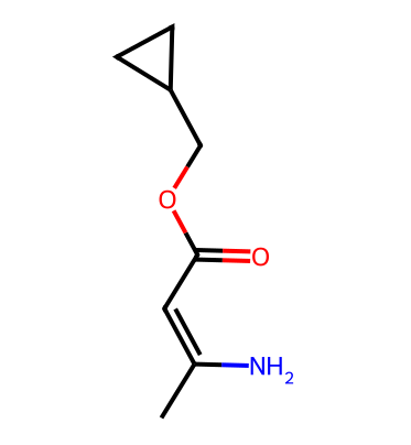 CC(N)=CC(=O)OCC1CC1